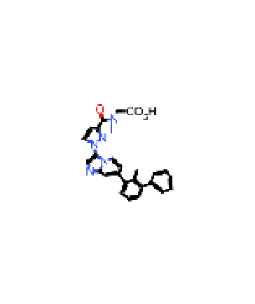 Cc1c(-c2ccccc2)cccc1-c1ccn2c(-n3ccc(C(=O)NCC(=O)O)n3)cnc2c1